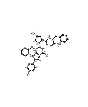 O=C(O)[C@H](Cc1ccccc1)NC(=O)[C@@H]1C[C@@H](O)CN1c1cc(=O)n2cc(-c3ccc(Cl)cc3)nc2n1Cc1ccccc1